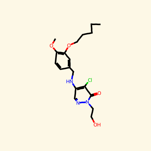 CCCCCOc1cc(CNc2cnn(CCO)c(=O)c2Cl)ccc1OC